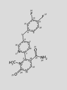 Cn1c(-c2ccc(Cc3ccc(F)c(F)c3)cn2)c(C(N)=O)ccc1=O